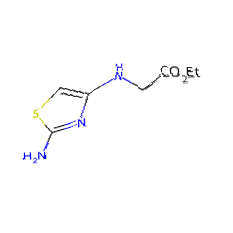 CCOC(=O)CNc1csc(N)n1